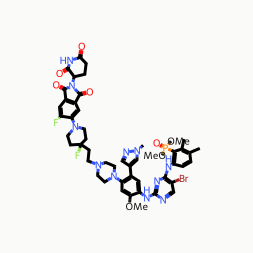 COc1cc(N2CCN(CCC3(F)CCN(c4cc5c(cc4F)C(=O)N(C4CCC(=O)NC4=O)C5=O)CC3)CC2)c(-c2cnn(C)c2)cc1Nc1ncc(Br)c(Nc2ccc(C)c(C)c2P(=O)(OC)OC)n1